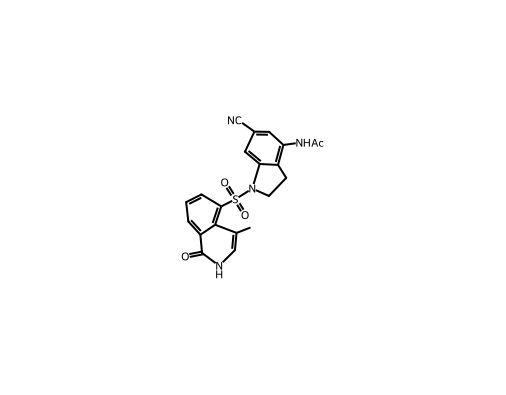 CC(=O)Nc1cc(C#N)cc2c1CCN2S(=O)(=O)c1cccc2c(=O)[nH]cc(C)c12